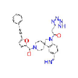 N=Cc1ccc2c(c1)C1(CCN(C(=O)c3ccc(C#Cc4ccccc4)o3)CC1)CN2C(=O)Cc1nnn[nH]1